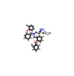 Cc1ccccc1Oc1ccccc1CN(CC[C@H](N)C(=O)O)Cc1ccccc1Oc1ccccc1C